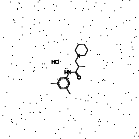 Cc1cc(C)cc(NC(=O)C(C)CN2CCCCC2)c1.Cl